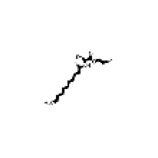 C=CCCCCCCCCC(=O)NC(C(=O)OCCC(C)C)C(C)C